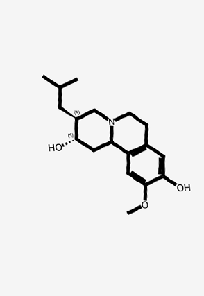 COc1cc2c(cc1O)CCN1C[C@H](CC(C)C)[C@@H](O)CC21